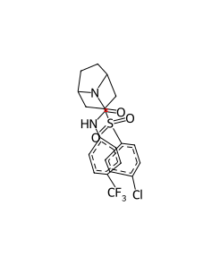 O=C(Nc1ccc(C(F)(F)F)cc1)N1C2CCC1CC(S(=O)(=O)c1ccc(Cl)cc1)C2